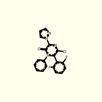 O=c1c(-n2cccn2)nc(Cl)c(-c2c(F)cccc2F)n1-c1ccccc1